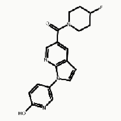 O=C(c1cnc2c(ccn2-c2ccc(O)nc2)c1)N1CCC(F)CC1